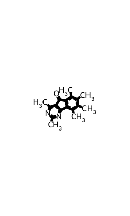 Cc1nc(C)c2c(n1)-c1c(C)c(C)c(C)c(C)c1C2=O